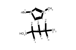 CCCCn1cc[n+](C)c1.O=S(=O)(O)C(F)(F)C(F)(F)C(F)(F)C(F)(F)F